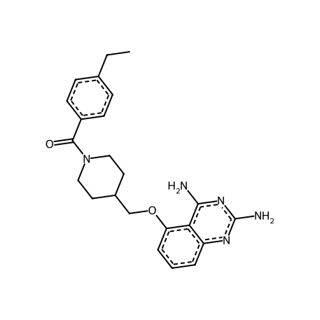 CCc1ccc(C(=O)N2CCC(COc3cccc4nc(N)nc(N)c34)CC2)cc1